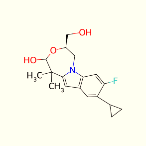 CC1(C)c2cc3cc(C4CC4)c(F)cc3n2C[C@H](CO)OC1O